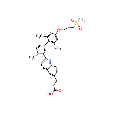 Cc1ccc(-c2c(C)cc(OCCCS(C)(=O)=O)cc2C)cc1-c1ccc2cc(CCC(=O)O)ccc2n1